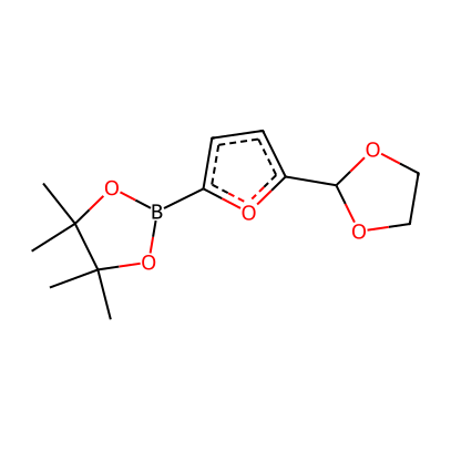 CC1(C)OB(c2ccc(C3OCCO3)o2)OC1(C)C